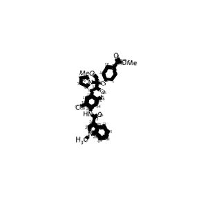 COCC(OC1CCC(C(=O)OC)CC1)(C(=O)Cc1cc(Cl)c(NC(=O)c2cn(C)c3ccccc23)cc1F)N1CCCC1